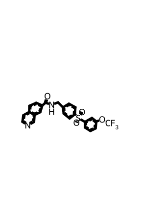 O=C(NCc1ccc(S(=O)(=O)c2cccc(OC(F)(F)F)c2)cc1)c1ccc2ccncc2c1